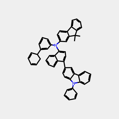 CC1(C)c2ccccc2-c2ccc(N(c3cccc(C4C=CC=CC4)c3)c3ccc(-c4ccc5c(c4)c4ccccc4n5-c4ccccc4)c4ccccc34)cc21